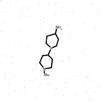 CC(C)(C)N1CCC(N2CCC(N)CC2)CC1